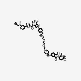 O=C1CCC(N2C(=O)c3ccc(NC4CCN(CCOCCOCCNCc5ccc(-n6cc(NC(=O)c7coc(-c8ccnc(NCC9CC9)c8)n7)c(C(F)F)n6)cc5)CC4)cc3C2=O)C(=O)N1